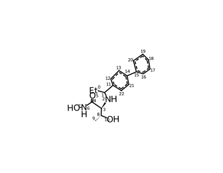 CCC(N[C@H](C(=O)NO)[C@@H](C)O)c1ccc(-c2ccccc2)cc1